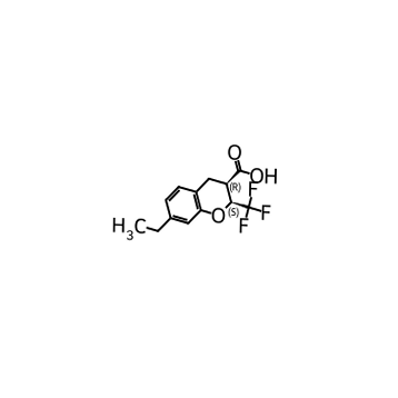 CCc1ccc2c(c1)O[C@H](C(F)(F)F)[C@H](C(=O)O)C2